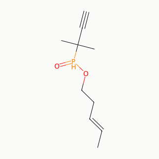 C#CC(C)(C)[PH](=O)OCCC=CC